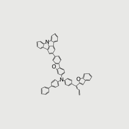 C=C/C=C(/c1ccc(N(c2ccc(-c3ccccc3)cc2)c2ccc3c(c2)oc2cc(-c4cc5c6ccccc6n6c7ccccc7c(c4)c56)ccc23)cc1)c1cc2ccccc2o1